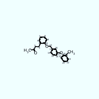 CC(=O)CCc1ccccc1OCc1cccc(Oc2ccccc2C)c1